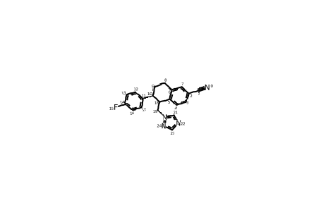 N#Cc1ccc2c(c1)CCC(c1ccc(F)cc1)C2Cn1cncn1